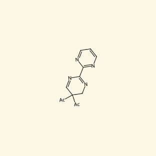 CC(=O)C1(C(C)=O)C=NC(c2ncccn2)=NC1